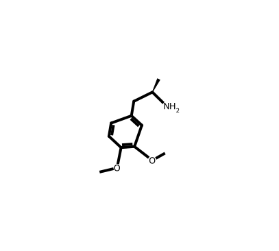 COc1ccc(C[C@@H](C)N)cc1OC